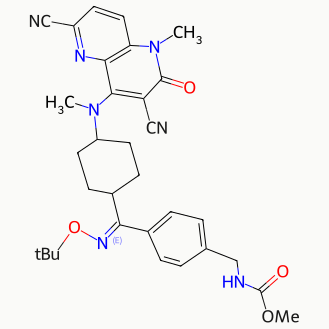 COC(=O)NCc1ccc(/C(=N/OC(C)(C)C)C2CCC(N(C)c3c(C#N)c(=O)n(C)c4ccc(C#N)nc34)CC2)cc1